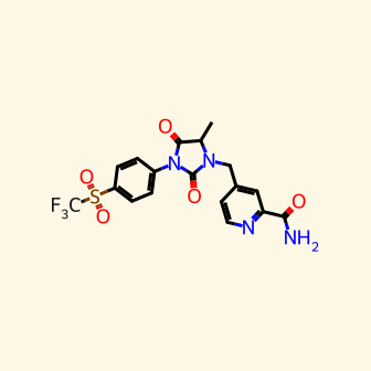 CC1C(=O)N(c2ccc(S(=O)(=O)C(F)(F)F)cc2)C(=O)N1Cc1ccnc(C(N)=O)c1